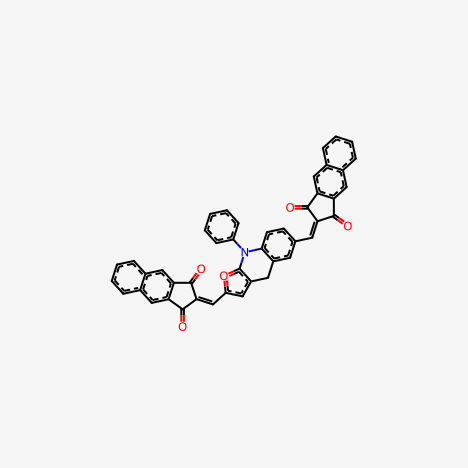 O=C1C(=Cc2ccc3c(c2)Cc2cc(C=C4C(=O)c5cc6ccccc6cc5C4=O)oc2N3c2ccccc2)C(=O)c2cc3ccccc3cc21